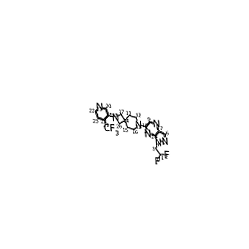 FC(F)Cn1ncc2ncc(N3CCC4(CC3)CN(c3cnccc3C(F)(F)F)C4)nc21